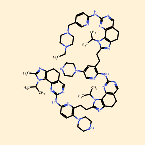 CCN1CCN(Cc2ccc(Nc3ncc4c(n3)-c3c(nc(CCc5cc(N6CCNCC6)cnc5Nc5ncc6c(n5)-c5c(nc(CCc7nc(Nc8ncc9c(n8)-c8c(nc(C)n8C(C)C)CC9)ccc7N7CCNCC7)n5C(C)C)CC6)n3C(C)C)CC4)nc2)CC1